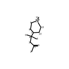 C=C(C)CC(C)(C)C1CCN(C)CC1